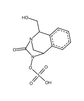 O=C1N2CC(c3ccccc3C2CO)N1OS(=O)(=O)O